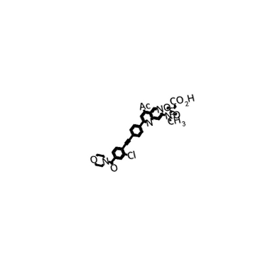 CC(=O)c1cc(-c2ccc(C#Cc3ccc(C(=O)N4CCOCC4)cc3Cl)cc2)nc2cc(N(C)S(=O)(=O)CC(=O)O)ncc12